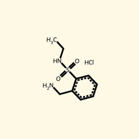 CCNS(=O)(=O)c1ccccc1CN.Cl